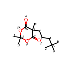 CC(C)(C)CCCC1(C)C(=O)OC(C)(C)OC1=O